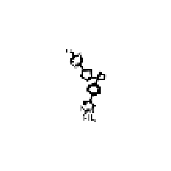 Nc1ncc(-c2ccc(C3(C4=CCC(c5cnc(Cl)cn5)=C4)CCC3)cc2)cn1